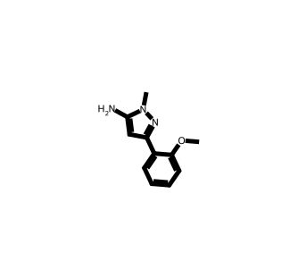 COc1ccccc1-c1cc(N)n(C)n1